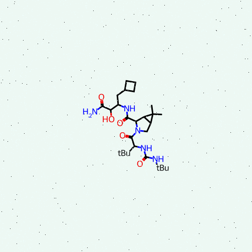 CC(C)(C)NC(=O)NC(C(=O)N1CC2C(C1C(=O)NC(CC1CCC1)C(O)C(N)=O)C2(C)C)C(C)(C)C